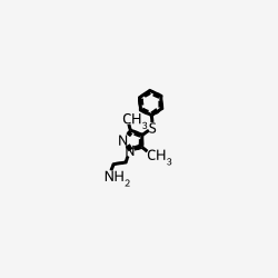 Cc1nn(CCN)c(C)c1Sc1ccccc1